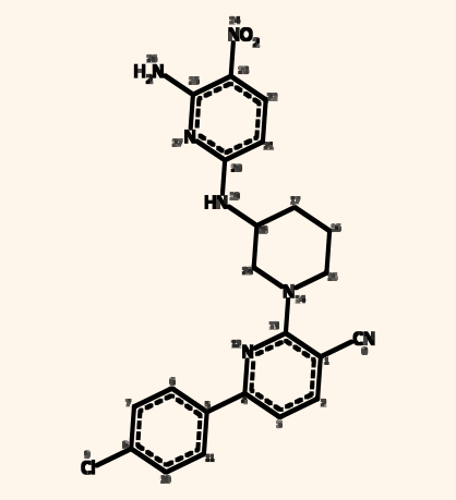 N#Cc1ccc(-c2ccc(Cl)cc2)nc1N1CCCC(Nc2ccc([N+](=O)[O-])c(N)n2)C1